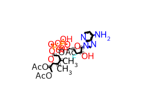 CC(=O)OC[C@@H](OC(C)=O)C1O[C@@H](OP(=O)(O)OP(=O)(O)OC[C@H]2O[C@@H](n3cnc4c(N)ccnc43)[C@@H](O)C2F)C(OC(C)=O)[C@@H](C)[C@@H]1C